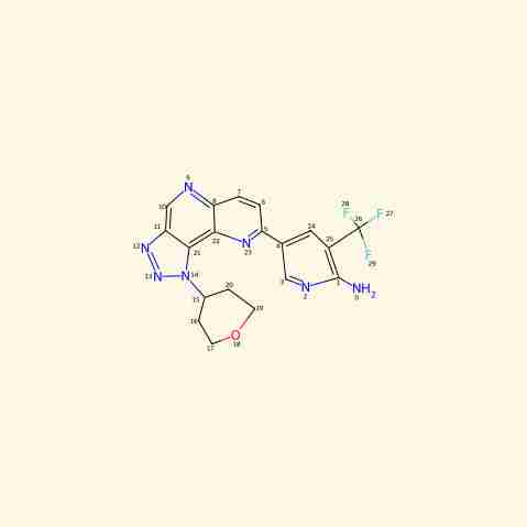 Nc1ncc(-c2ccc3ncc4nnn(C5CCOCC5)c4c3n2)cc1C(F)(F)F